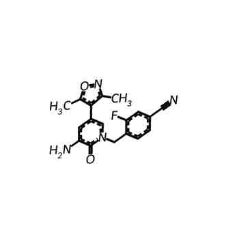 Cc1noc(C)c1-c1cc(N)c(=O)n(Cc2ccc(C#N)cc2F)c1